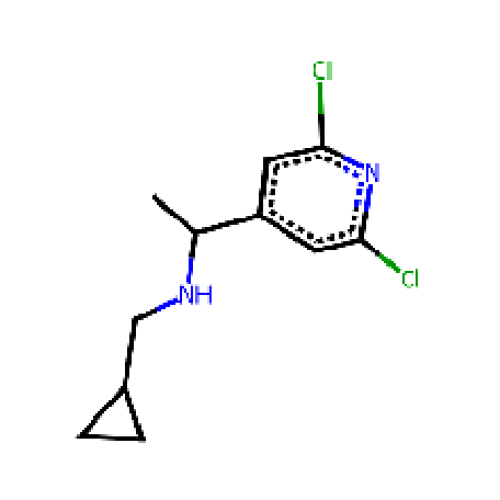 CC(NCC1CC1)c1cc(Cl)nc(Cl)c1